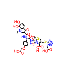 CCn1cc(C(=O)NC(C(=O)N[C@]2(OC)C(=O)N3C(C(=O)O)=C(CSc4nnnn4CC(=O)O)CS[C@@H]32)c2ccc(OCC(=O)O)cc2)c(=O)c2ccc(O)c(O)c21